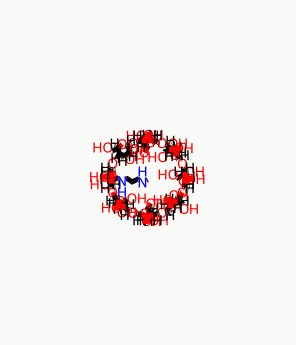 CNCCCNC[C@H]1O[C@@H]2O[C@H]3[C@H](O)[C@@H](O)[C@@H](O[C@H]4[C@H](O)[C@@H](O)[C@@H](O[C@H]5[C@H](O)[C@H](O)[C@@H](O[C@H]6[C@H](O)[C@@H](O)[C@@H](O[C@H]7[C@H](O)[C@@H](O)[C@@H](O[C@H]8[C@H](O)[C@@H](O)[C@@H](O[C@H]9[C@H](O)[C@@H](O)[C@@H](O[C@H]1[C@H](O)[C@H]2O)O[C@@H]9CO)O[C@@H]8CO)O[C@@H]7CO)O[C@@H]6CO)O[C@@H]5CO)O[C@@H]4CO)O[C@@H]3CO